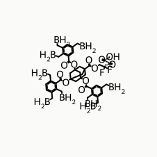 BCc1cc(CB)c(CB)c(C(=O)OC23CC4(OC(=O)c5cc(CB)cc(CB)c5CB)CC(OC(=O)c5c(CB)ccc(CB)c5CB)(C2)CC(C(=O)OCC(F)(F)S(=O)(=O)O)(C3)C4)c1